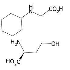 N[C@@H](CCO)C(=O)O.O=C(O)CNC1CCCCC1